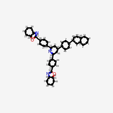 c1ccc2cc(-c3ccc(-c4cc(-c5ccc(-c6nc7ccccc7o6)cc5)nc(-c5ccc(-c6nc7ccccc7o6)cc5)c4)cc3)ccc2c1